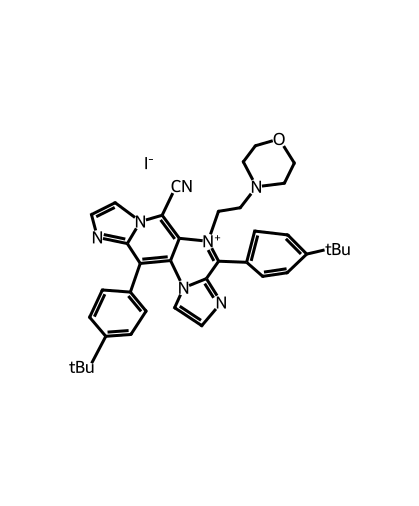 CC(C)(C)c1ccc(-c2c3nccn3c(C#N)c3c2n2ccnc2c(-c2ccc(C(C)(C)C)cc2)[n+]3CCN2CCOCC2)cc1.[I-]